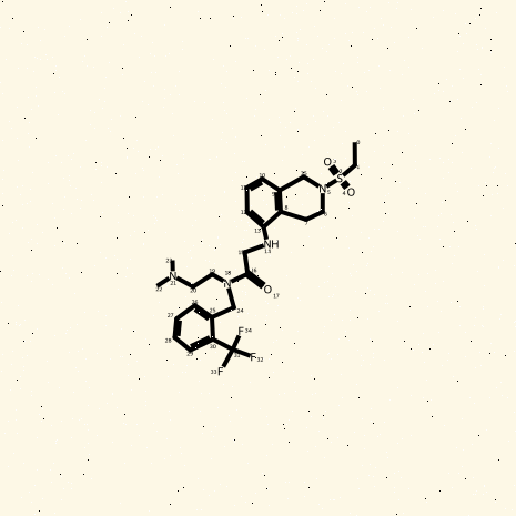 CCS(=O)(=O)N1CCc2c(cccc2NCC(=O)N(CCN(C)C)Cc2ccccc2C(F)(F)F)C1